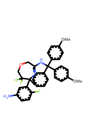 COc1ccc(C(NC2=NC(C)(c3cc(N)ccc3F)C(F)(F)COC2)(c2ccccc2)c2ccc(OC)cc2)cc1